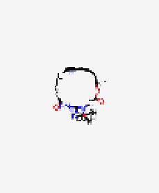 [2H]C([2H])([2H])N1CC(=O)O[C@@H](C)CCC/C=C/CCCCC(=O)N/C1=N/C(=O)O